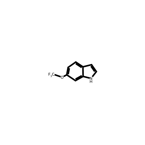 FC(F)(F)Oc1ccc2cc[nH]c2c1